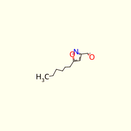 CCCCCCc1cc([C]=O)no1